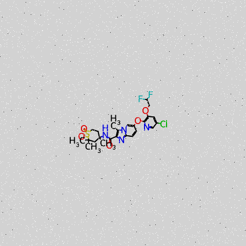 Cc1c(C(=O)NC2(C)CCS(=O)(=O)C(C)(C)C2)nc2ccc(Oc3ncc(Cl)cc3OCC(F)F)cn12